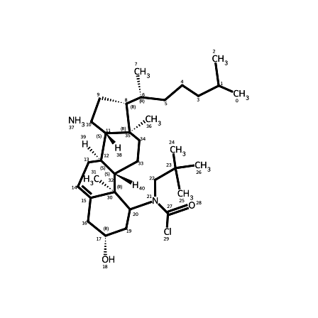 CC(C)CCC[C@@H](C)[C@H]1CC[C@H]2[C@@H]3CC=C4C[C@@H](O)CC(N(CC(C)(C)C)C(=O)Cl)[C@]4(C)[C@H]3CC[C@]12C.N